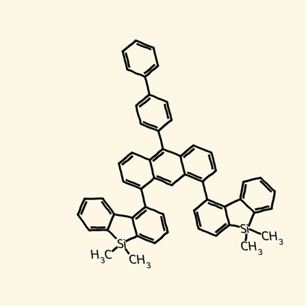 C[Si]1(C)c2ccccc2-c2c(-c3cccc4c(-c5ccc(-c6ccccc6)cc5)c5cccc(-c6cccc7c6-c6ccccc6[Si]7(C)C)c5cc34)cccc21